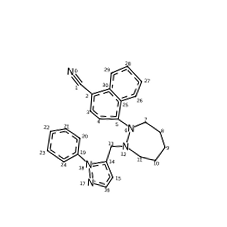 N#Cc1ccc(N2CCCCCN2Cc2ccnn2-c2ccccc2)c2ccccc12